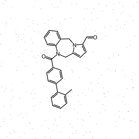 Cc1ccccc1-c1ccc(C(=O)N2Cc3ccc(C=O)n3Cc3ccccc32)cc1